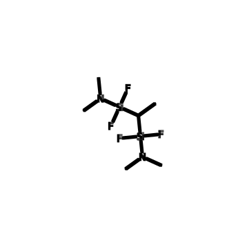 CC([Si](F)(F)N(C)C)[Si](F)(F)N(C)C